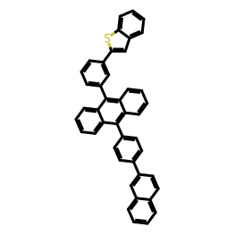 c1cc(-c2cc3ccccc3s2)cc(-c2c3ccccc3c(-c3ccc(-c4ccc5ccccc5c4)cc3)c3ccccc23)c1